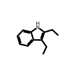 CCc1[nH]c2ccccc2c1CC